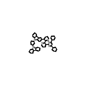 c1ccc(-c2cc(-c3ccccc3)nc(-c3cccnc3-c3ncccc3-c3ccc4c(c3)c3ccccc3n4-c3cccc(-n4c5ccccc5c5ccccc54)c3)n2)cc1